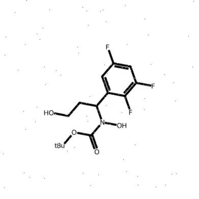 CC(C)(C)OC(=O)N(O)C(CCO)c1cc(F)cc(F)c1F